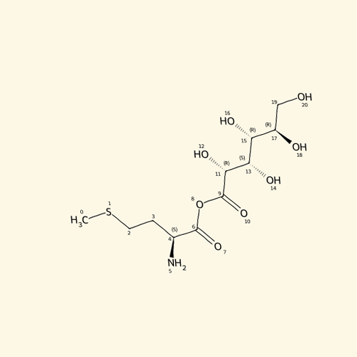 CSCC[C@H](N)C(=O)OC(=O)[C@H](O)[C@@H](O)[C@H](O)[C@H](O)CO